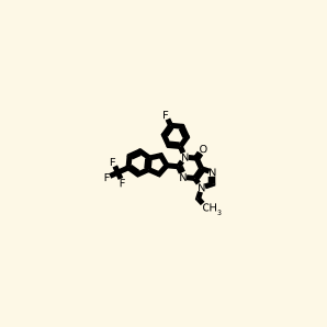 CCn1cnc2c(=O)n(-c3ccc(F)cc3)c(C3Cc4ccc(C(F)(F)F)cc4C3)nc21